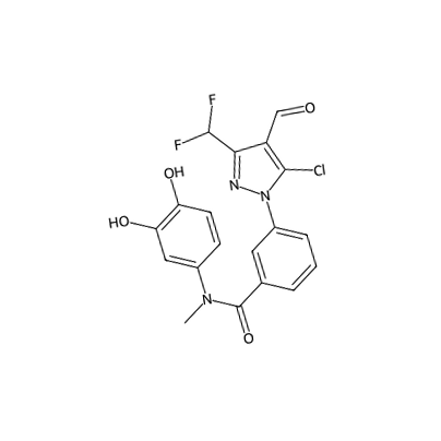 CN(C(=O)c1cccc(-n2nc(C(F)F)c(C=O)c2Cl)c1)c1ccc(O)c(O)c1